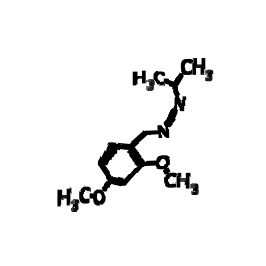 COc1ccc(CN=C=NC(C)C)c(OC)c1